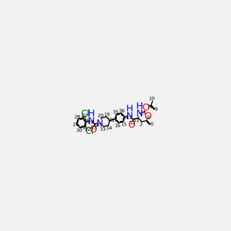 C=CCC(NC(=O)OC(=C)C)C(=O)Nc1ccc(C2CCN(C(=O)Nc3c(Cl)cccc3Cl)CC2)cc1